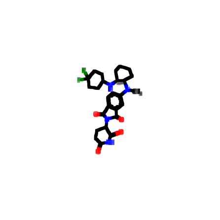 CN(c1ccc2c(c1)C(=O)N(C1CCC(=O)NC1=O)C2=O)[C@@H]1CCCC[C@@H]1NC1CCC(F)(F)CC1